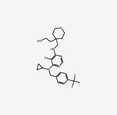 CC(F)(F)c1ccc(CN(c2ncnc(NCC3(CCO)CCOCC3)c2F)C2CC2)cc1